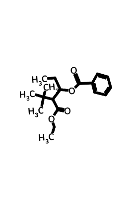 CCOC(=O)C(C(CC)OC(=O)c1ccccc1)C(C)(C)C